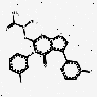 CC(=O)N(N)Sc1nc2scc(-c3cccc(F)c3)c2c(=O)n1-c1cccc(F)c1